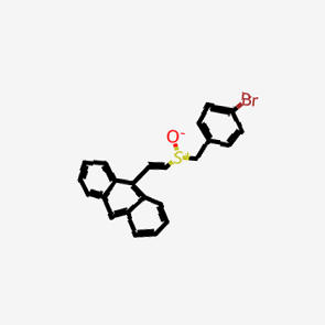 [O-][S+](C=Cc1c2ccccc2cc2ccccc12)Cc1ccc(Br)cc1